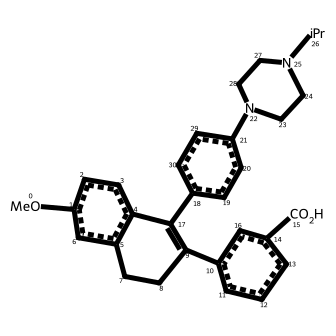 COc1ccc2c(c1)CCC(c1cccc(C(=O)O)c1)=C2c1ccc(N2CCN(C(C)C)CC2)cc1